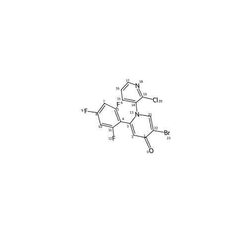 O=c1cc(-c2c(F)cc(F)cc2F)n(-c2cccnc2Cl)cc1Br